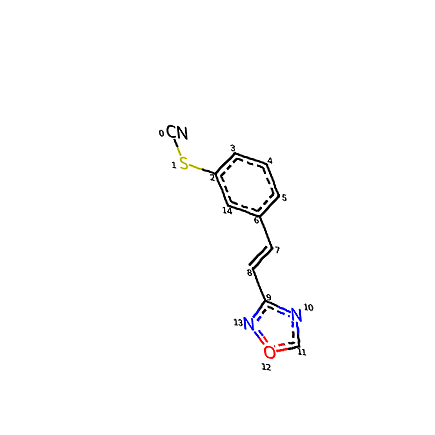 N#CSc1cccc(C=Cc2ncon2)c1